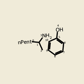 CCCCCC(C)N.Oc1ccccc1